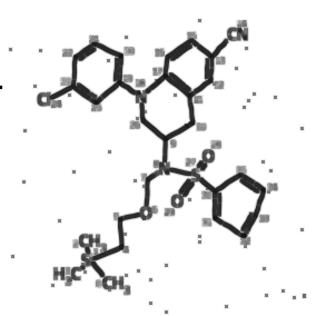 C[Si](C)(C)CCOCN(C1Cc2cc(C#N)ccc2N(c2cccc(Cl)c2)C1)S(=O)(=O)c1ccccc1